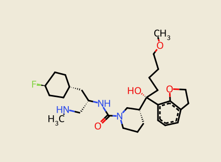 CNC[C@H](C[C@H]1CC[C@H](F)CC1)NC(=O)N1CCC[C@@H]([C@@](O)(CCCCOC)c2cccc3c2OCC3)C1